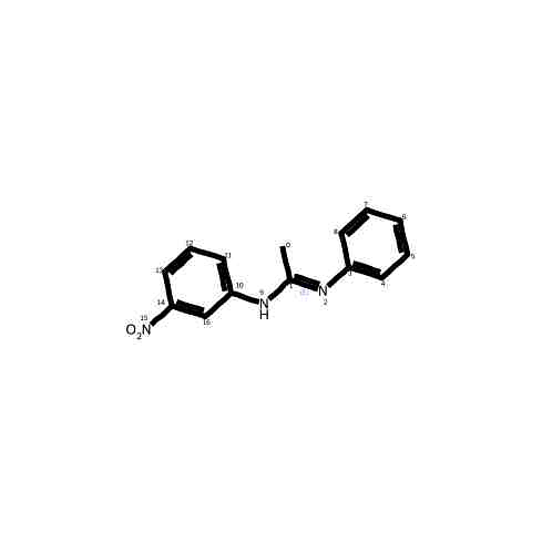 C/C(=N\c1ccccc1)Nc1cccc([N+](=O)[O-])c1